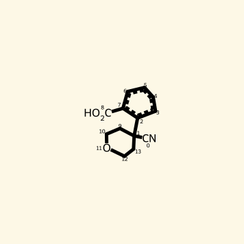 N#CC1(c2ccccc2C(=O)O)CCOCC1